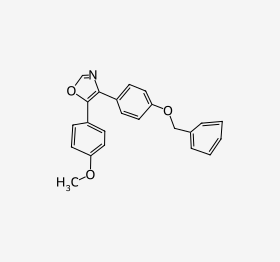 COc1ccc(-c2ocnc2-c2ccc(OCc3ccccc3)cc2)cc1